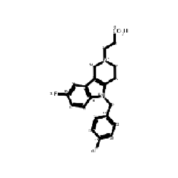 O=C(O)CCN1CCc2c(c3cc(F)ccc3n2Cc2ccc(F)cc2)C1